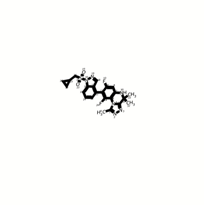 Cc1nnc2n1-c1c(cc(F)c(-c3cccc4c3cnn4S(=O)(=O)CC3CC3)c1F)NC2(C)C